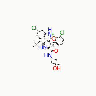 CC(C)(C)C[C@H]1N[C@@H](C(=O)NC2CC(C)(O)C2)[C@H](c2cccc(Cl)c2F)[C@@]12C(=O)Nc1cc(Cl)ccc12